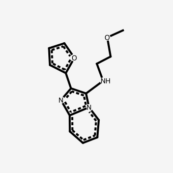 COCCNc1c(-c2ccco2)nc2ccccn12